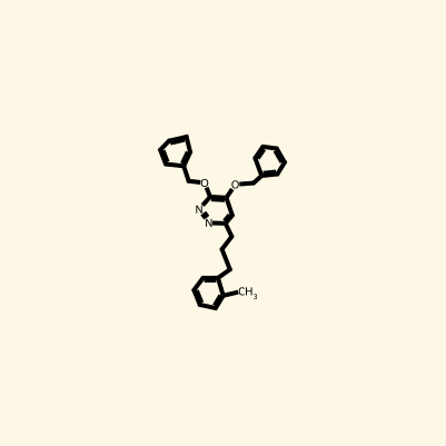 Cc1ccccc1CCCc1cc(OCc2ccccc2)c(OCc2ccccc2)nn1